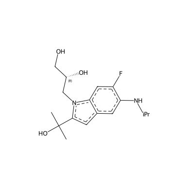 CC(C)Nc1cc2cc(C(C)(C)O)n(C[C@@H](O)CO)c2cc1F